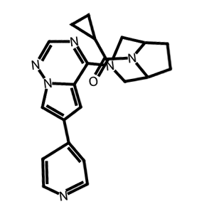 O=C(C1CC1)N1C2CCC1CN(c1ncnn3cc(-c4ccncc4)cc13)C2